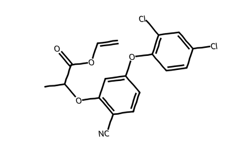 C=COC(=O)C(C)Oc1cc(Oc2ccc(Cl)cc2Cl)ccc1C#N